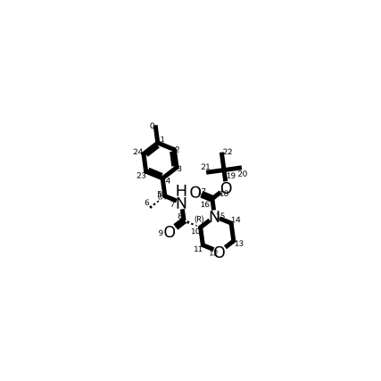 Cc1ccc([C@@H](C)NC(=O)[C@H]2COCCN2C(=O)OC(C)(C)C)cc1